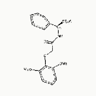 COc1cccc(OC)c1OCC(=O)N[C@H](C(=O)O)c1ccccc1